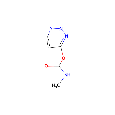 CNC(=O)Oc1ccnnn1